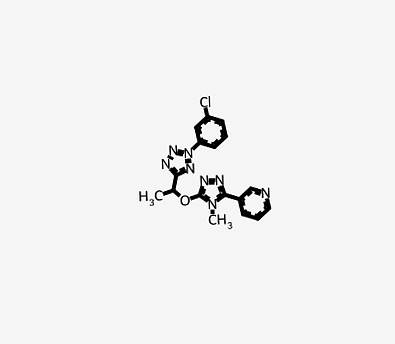 CC(Oc1nnc(-c2cccnc2)n1C)c1nnn(-c2cccc(Cl)c2)n1